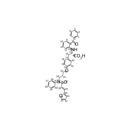 O=C(c1ccccc1)c1ccccc1N[C@@H](Cc1ccc(OCCCN(C(=O)C=Cc2ccco2)c2ccccc2)cc1)C(=O)O